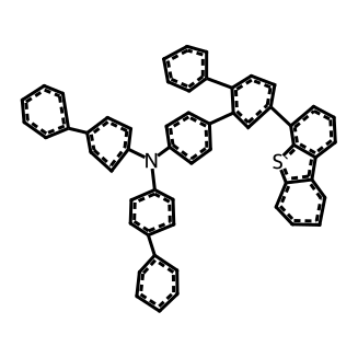 c1ccc(-c2ccc(N(c3ccc(-c4ccccc4)cc3)c3ccc(-c4cc(-c5cccc6c5sc5ccccc56)ccc4-c4ccccc4)cc3)cc2)cc1